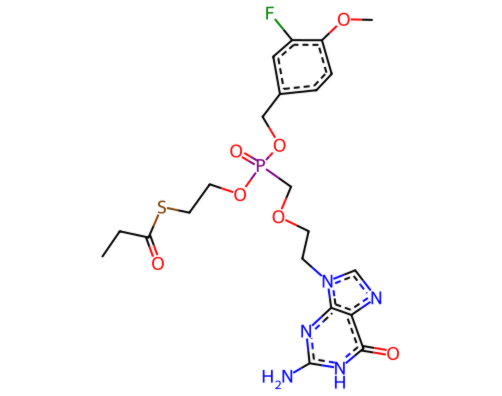 CCC(=O)SCCOP(=O)(COCCn1cnc2c(=O)[nH]c(N)nc21)OCc1ccc(OC)c(F)c1